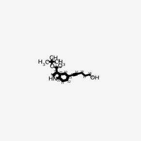 CC(C)(C)OC(=O)c1c[nH]c2ccc(C#CCCCO)cc12